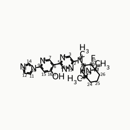 CN(c1cnc(-c2cnc(-n3ccnc3)cc2O)nn1)[C@@H]1C[C@@]2(C)CCC[C@](C)(N2)[C@H]1F